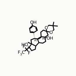 CC1(C)COC2(CCC3=C4C(CC[C@@]3(O)C2)C2CC[C@@](O)(C(F)(F)C(F)(F)F)C2(C)C[C@@H]4c2ccc(O)cc2)OC1